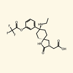 CCN[C@]1(c2cccc(OC(=O)C(F)(F)F)c2)CC[C@]2(CC1)CN(CC(=O)O)C(=O)N2